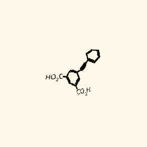 O=C(O)c1cc(C#Cc2ccccc2)cc(C(=O)O)c1